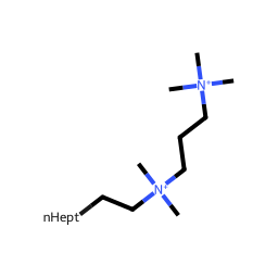 CCCCCCCCC[N+](C)(C)CCC[N+](C)(C)C